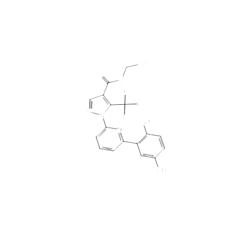 CCOC(=O)c1cnn(-c2cccc(-c3cc(C)ccc3S)n2)c1C(F)(F)F